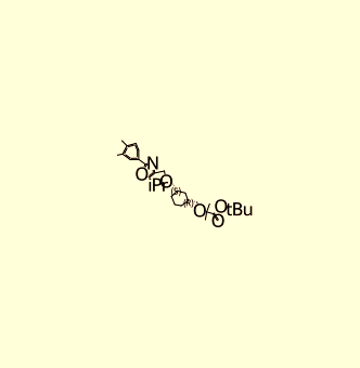 Cc1ccc(-c2nc(COC[C@H]3CCC[C@@H](COC(C)(C)C(=O)OC(C)(C)C)C3)c(C(C)C)o2)cc1C